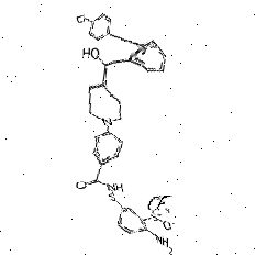 Nc1ccc(SNC(=O)c2ccc(N3CCC(=C(O)c4ccccc4-c4ccc(Cl)cc4)CC3)cc2)cc1[S+]([O-])C(F)(F)F